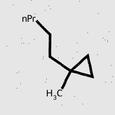 [CH2]CCCCC1(C)CC1